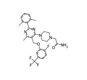 Cc1cccc(C)c1-c1nc(C)c(COc2cc(C(F)(F)F)ccc2F)c(N2CCN(CC(N)=O)CC2)n1